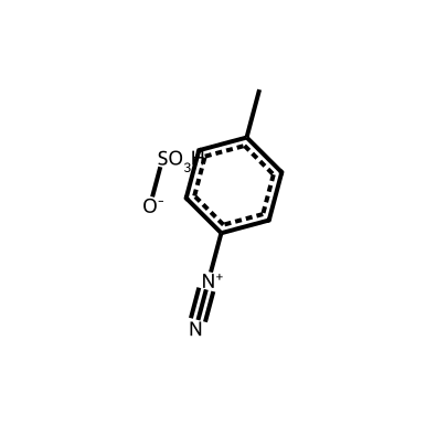 Cc1ccc([N+]#N)cc1.O=S(=O)([O-])O